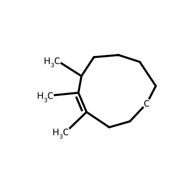 CC1=C(C)C(C)CCCCCCC1